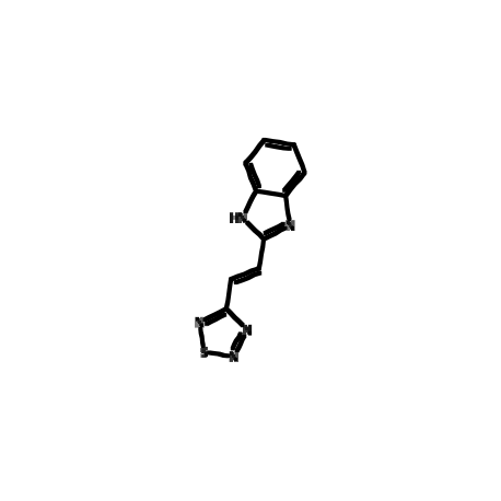 C(=Cc1nc2ccccc2[nH]1)c1nnsn1